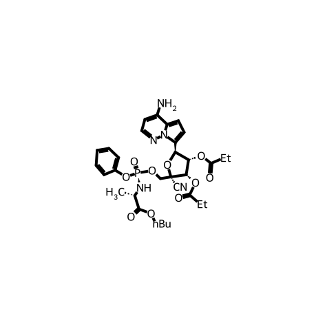 CCCCOC(=O)[C@H](C)N[P@](=O)(OC[C@@]1(C#N)O[C@@H](c2ccc3c(N)ccnn23)[C@H](OC(=O)CC)[C@@H]1OC(=O)CC)Oc1ccccc1